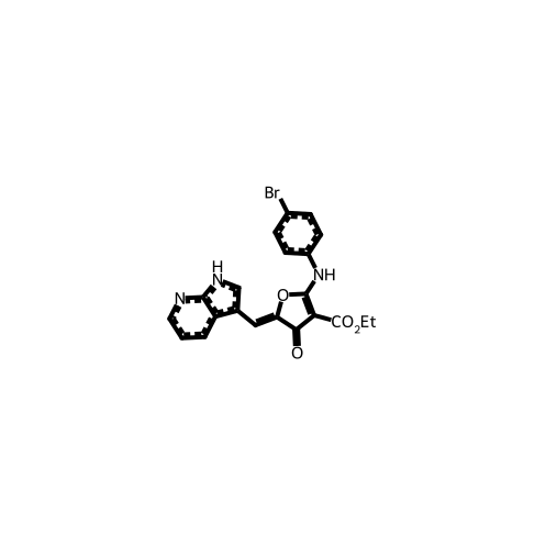 CCOC(=O)C1=C(Nc2ccc(Br)cc2)OC(=Cc2c[nH]c3ncccc23)C1=O